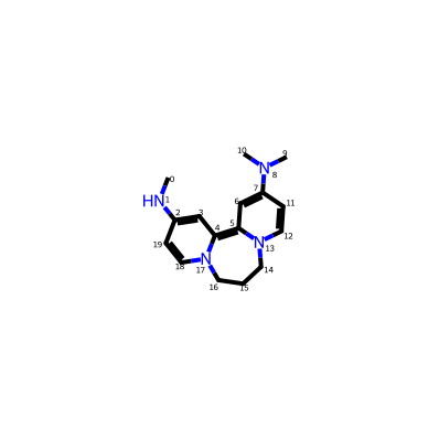 CNC1=CC2=C3C=C(N(C)C)C=CN3CCCN2C=C1